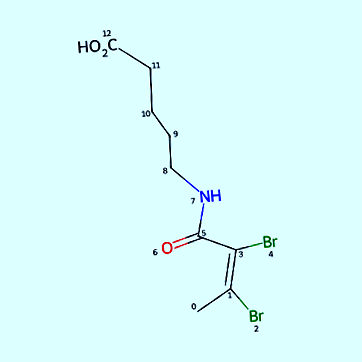 C/C(Br)=C(/Br)C(=O)NCCCCC(=O)O